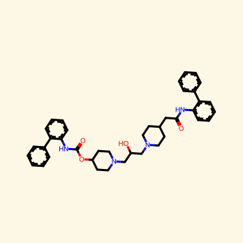 O=C(CC1CCN(CC(O)CN2CCC(OC(=O)Nc3ccccc3-c3ccccc3)CC2)CC1)Nc1ccccc1-c1ccccc1